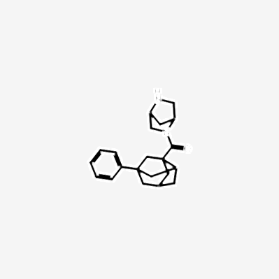 O=C(N1CC2CC1CN2)C12CC3CC1CC(c1ccccc1)(C3)C2